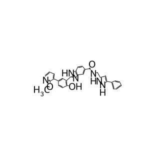 COc1ncccc1-c1ccc(O)c(-c2nc3cc(C(=O)NCc4cc(-c5ccccc5)[nH]n4)ccc3[nH]2)c1